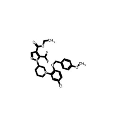 CCOC(=O)c1cnn(C2CCCN(c3cc(Cl)ccc3OCc3ccc(OC)cc3)C2)c1C(F)F